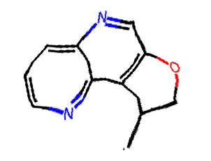 [CH2]C1COc2cnc3cccnc3c21